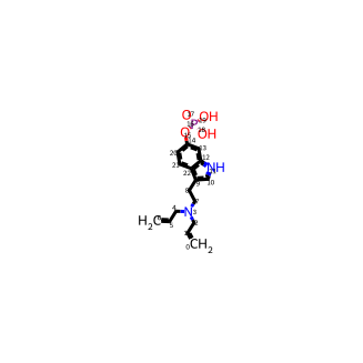 C=CCN(CC=C)CCc1c[nH]c2cc(OP(=O)(O)O)ccc12